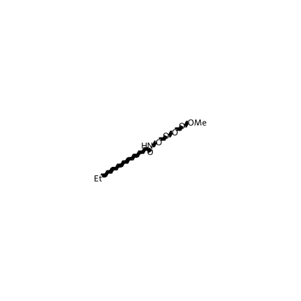 CCC=CCC=CCC=CCC=CCC=CCCCC(=O)NCCOCCOCCOCCOCCOC